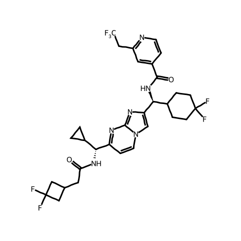 O=C(CC1CC(F)(F)C1)N[C@@H](c1ccn2cc([C@@H](NC(=O)c3ccnc(CC(F)(F)F)c3)C3CCC(F)(F)CC3)nc2n1)C1CC1